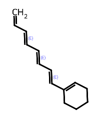 C=C/C=C/C=C/C=C/C1=CCCCC1